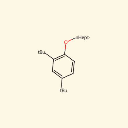 CCCCCC[CH]Oc1ccc(C(C)(C)C)cc1C(C)(C)C